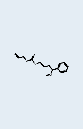 C=CCOC(=O)OCCCC(OC)c1ccccc1